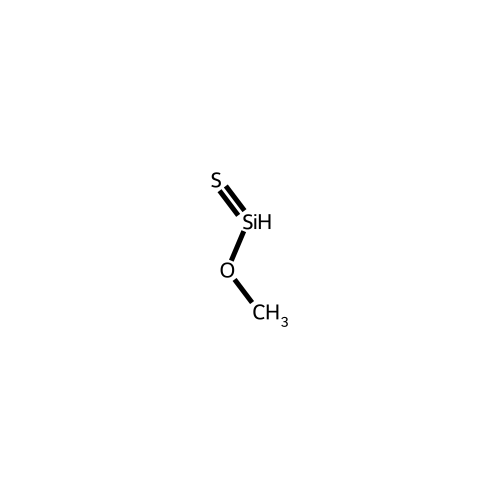 CO[SiH]=S